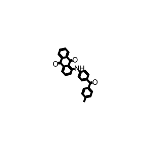 Cc1ccc(C(=O)c2ccc(Nc3cccc4c3C(=O)c3ccccc3C4=O)cc2)cc1